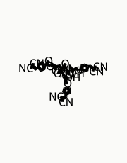 N#CC(C#N)=Cc1ccc(OCC(O)Cn2c(=O)n(CC(O)COC(=O)c3ccc(C=C(C#N)C#N)cc3)c(=O)n(CC(O)COc3ccc(C=C(C#N)C#N)cc3)c2=O)cc1